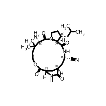 CC(C)C[C@H]1CCN2C(=O)[C@@H](N)C(C)(C)CCOC(=O)[C@@H]3C[C@@H](C[C@@H](C#N)NC(=O)[C@H]12)C(=O)N3